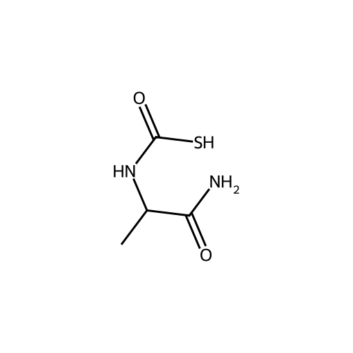 CC(NC(=O)S)C(N)=O